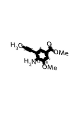 CC#Cc1cc(C(=O)OC)cc(OC)c1N